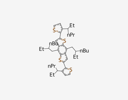 CCCCC(CC)Cc1c2cc(-c3sccc3C(CC)CCC)sc2c(CC(CC)CCCC)c2cc(-c3sccc3C(CC)CCC)sc12